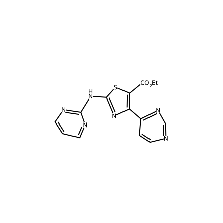 CCOC(=O)c1sc(Nc2ncccn2)nc1-c1ccncn1